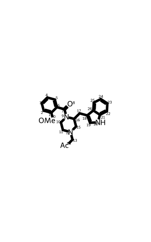 COc1ccccc1C(=O)N1CCN(CC(C)=O)CC1Cc1c[nH]c2ccccc12